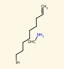 C=CCCCCCCCC(C)C.NC=O